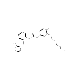 CCCCCCCCCCCCCCOc1cc(CC(=O)Nc2ccccc2C[n+]2ccsc2C)ccc1C(C)(C)C.[Br-]